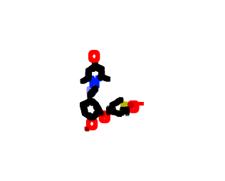 COc1ccc(/C=C/n2c(C)cc(=O)cc2C)cc1O[C@H]1CC[S@+]([O-])C1